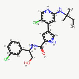 [2H]CC([2H])(C)Nc1cc(-c2c[nH]c(C(=O)NC(CO)c3cccc(Cl)c3)c2)c(Cl)cn1